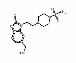 CS(=O)(=O)N1CCN(CCn2c(=O)oc3ccc(CN)cc32)CC1